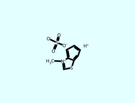 C[n+]1csc2ccccc21.O=S(=O)([O-])[O-].[H+]